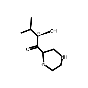 CC(C)[C@@H](O)C(=O)C1CNCC[N]1